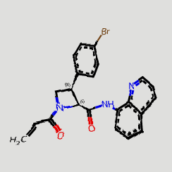 C=CC(=O)N1C[C@@H](c2ccc(Br)cc2)[C@H]1C(=O)Nc1cccc2cccnc12